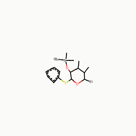 CCC1OC(Sc2ccccc2)C(O[Si](C)(C)C(C)(C)C)C(C)C1C